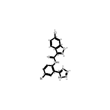 O=C(Nc1ccc(Br)cc1-c1nnn[nH]1)c1noc2cc(Cl)ccc12